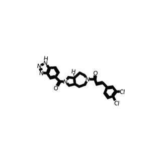 O=C(/C=C/c1ccc(Cl)c(Cl)c1)N1CCC2CN(C(=O)c3ccc4[nH]nnc4c3)C[C@H]2CC1